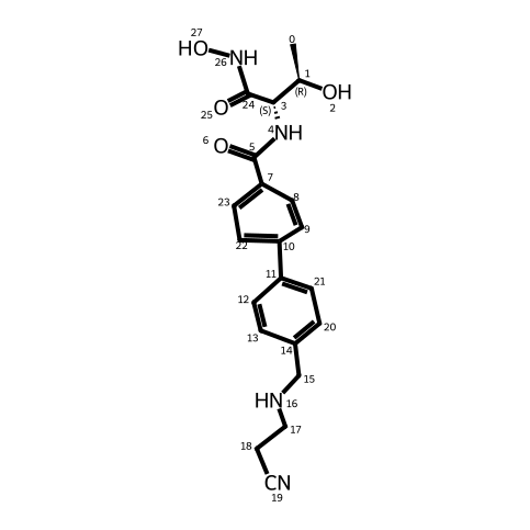 C[C@@H](O)[C@H](NC(=O)c1ccc(-c2ccc(CNCCC#N)cc2)cc1)C(=O)NO